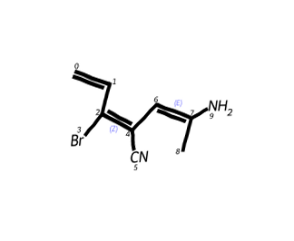 C=C/C(Br)=C(C#N)\C=C(/C)N